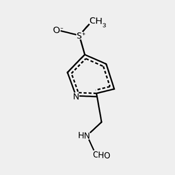 C[S+]([O-])c1ccc(CNC=O)nc1